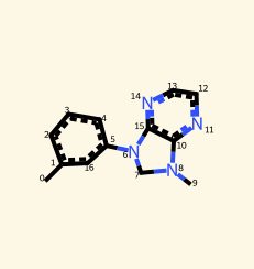 Cc1cccc(N2CN(C)c3nccnc32)c1